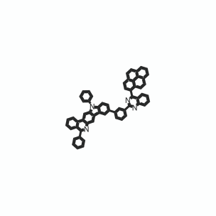 c1ccc(-c2nc3cc4c5cc(-c6cccc(-c7nc(-c8ccc9ccc%10cccc%11ccc8c9c%10%11)c8ccccc8n7)c6)ccc5n(-c5ccccc5)c4cc3c3ccccc23)cc1